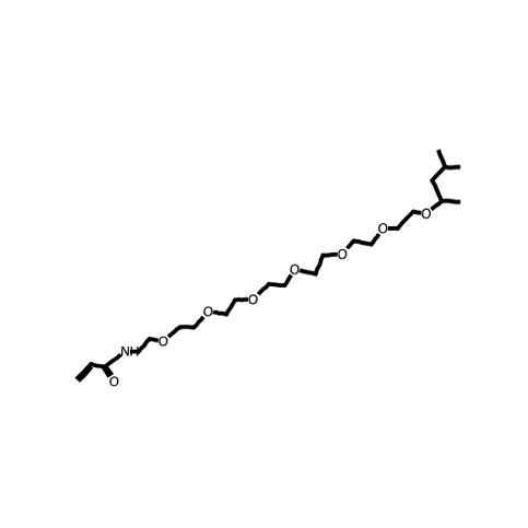 C=CC(=O)NCCOCCOCCOCCOCCOCCOCCOC(C)CC(C)C